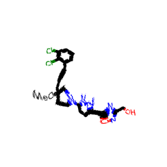 COC1(C#Cc2cccc(Cl)c2Cl)CCN(c2ccc(-c3nc(CO)no3)nn2)C1